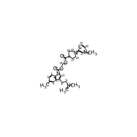 Cc1ccc2c(c1)c(CCN(C)C)cn2C(=O)OCOC(=O)C1CCN(C2=CN(C)C=CC2)CC1